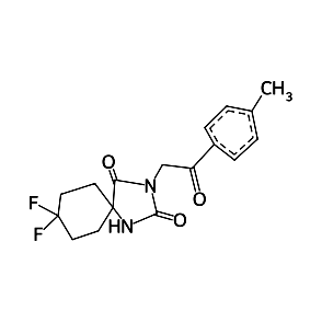 Cc1ccc(C(=O)CN2C(=O)NC3(CCC(F)(F)CC3)C2=O)cc1